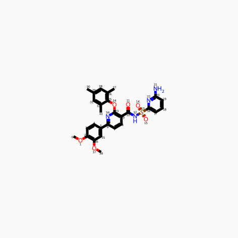 COc1ccc(-c2ccc(C(=O)NS(=O)(=O)c3cccc(N)n3)c(Oc3c(C)cc(C)cc3C)n2)cc1OC